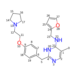 CC1=CN=C(Cc2ccc(OCCN3CCCC3)cc2)NC1NCc1ccco1